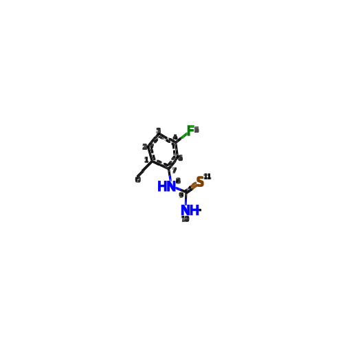 Cc1ccc(F)cc1NC([NH])=S